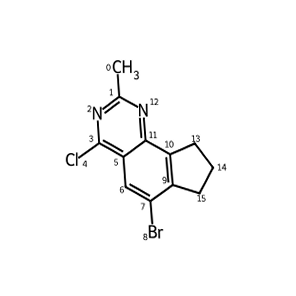 Cc1nc(Cl)c2cc(Br)c3c(c2n1)CCC3